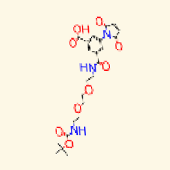 CC(C)(C)OC(=O)NCCOCCOCCNC(=O)c1cc(C(=O)O)cc(N2C(=O)C=CC2=O)c1